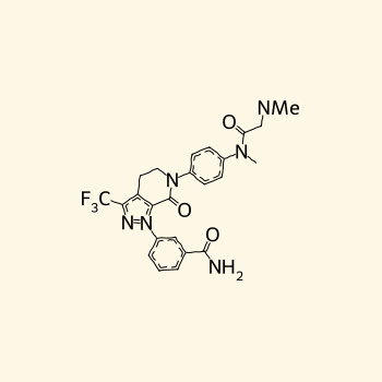 CNCC(=O)N(C)c1ccc(N2CCc3c(C(F)(F)F)nn(-c4cccc(C(N)=O)c4)c3C2=O)cc1